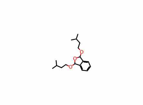 CC(C)CCOC1OC(OCCC(C)C)c2ccccc21